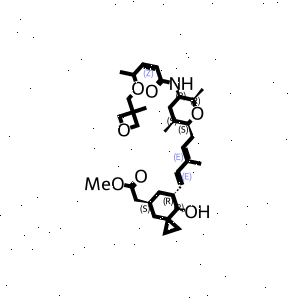 COC(=O)C[C@H]1C[C@H](/C=C/C(C)=C/C[C@@H]2O[C@H](C)[C@H](NC(=O)/C=C\C(C)OCC3(C)COC3)C[C@@H]2C)[C@@H](O)C2(CC2)C1